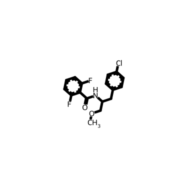 COCC(Cc1ccc(Cl)cc1)NC(=O)c1c(F)cccc1F